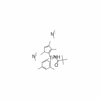 CC1=CC(C)[C]([Ti+2]2([NH]C(=O)C(C)(C)C)[c]3cc(C)cc(C)[c]32)=C1C.C[N-]C.C[N-]C